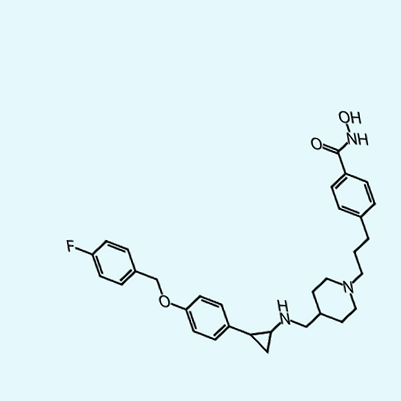 O=C(NO)c1ccc(CCCN2CCC(CNC3CC3c3ccc(OCc4ccc(F)cc4)cc3)CC2)cc1